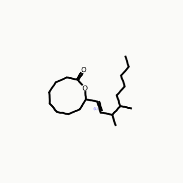 CCCCCC(C)C(C)/C=C/C1CCCCCCCC(=O)O1